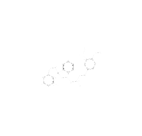 COc1ccc(CCN(C)CCCC2(c3ccccc3)COc3cccc(Cl)c32)cc1OC